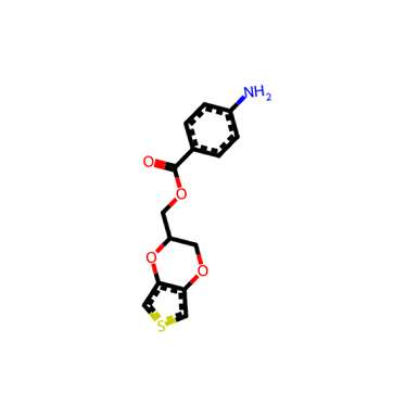 Nc1ccc(C(=O)OCC2COc3cscc3O2)cc1